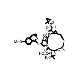 COc1ccc2c(O[C@@H]3C[C@H]4C(=O)NC5(C(=O)NS(=O)(=O)C6(C)CC6)CC5/C=C\CC[C@H](C)C[C@@H](C)[C@H](N(C(=O)O)C(C)(C)C(F)(F)F)C(=O)N4C3)nccc2c1